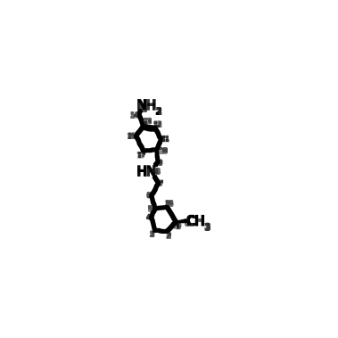 C[C@H]1CCCC(CCNCC2CC=C(CN)CC2)C1